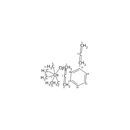 C=C=C.C=C=C.[CH3][Os]([CH3])([CH3])([CH3])([CH3])[CH3].c1ccccc1